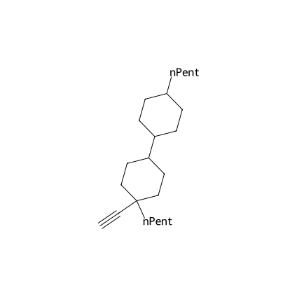 C#CC1(CCCCC)CCC(C2CCC(CCCCC)CC2)CC1